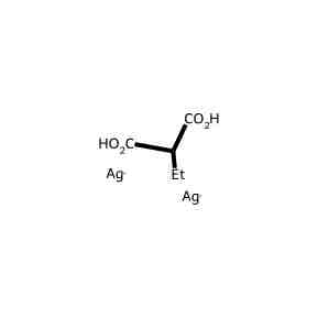 CCC(C(=O)O)C(=O)O.[Ag].[Ag]